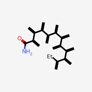 C=C(CC)C(=C)C(=C)C(=C)C(=C)C(=C)C(=C)C(=C)C(=C)C(=C)C(N)=O